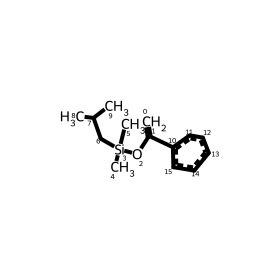 C=C(O[Si](C)(C)CC(C)C)c1ccccc1